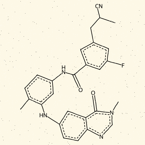 Cc1ccc(NC(=O)c2cc(F)cc(CC(C)C#N)c2)cc1Nc1ccc2ncn(C)c(=O)c2c1